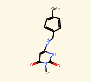 COc1ccc(CNc2cc(=O)n(C(C)C)c(=O)[nH]2)cc1